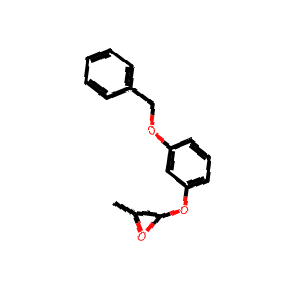 CC1OC1Oc1cccc(OCc2ccccc2)c1